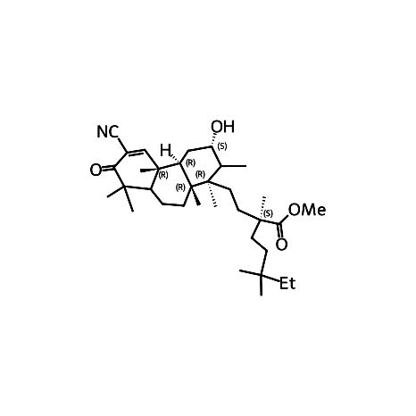 CCC(C)(C)CC[C@@](C)(CC[C@]1(C)C(C)[C@@H](O)C[C@@H]2[C@@]3(C)C=C(C#N)C(=O)C(C)(C)C3CC[C@]21C)C(=O)OC